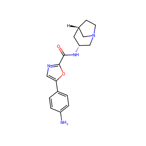 Nc1ccc(-c2cnc(C(=O)N[C@@H]3C[C@@H]4CCN(C4)C3)o2)cc1